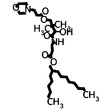 CCCCCCCCC(CCCCCC)COC(=O)CCNC(=O)[C@H](O)C(C)(C)COC(=O)CCN1CCOCC1